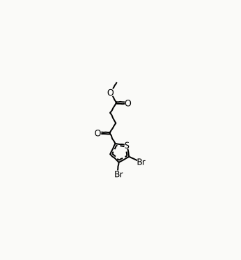 COC(=O)CCC(=O)c1cc(Br)c(Br)s1